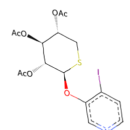 CC(=O)O[C@@H]1[C@@H](OC(C)=O)[C@H](OC(C)=O)CS[C@H]1Oc1cnccc1I